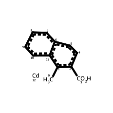 Cc1c(C(=O)O)ccc2ccccc12.[Cd]